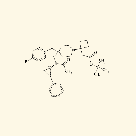 CC(=O)N(CC1(Cc2ccc(F)cc2)CCN(C2(CC(=O)OC(C)(C)C)CCC2)CC1)[C@@H]1CC1c1ccccc1